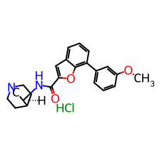 COc1cccc(-c2cccc3cc(C(=O)N[C@@H]4CN5CCC4CC5)oc23)c1.Cl